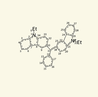 CCn1c2ccccc2c2cc(/C(c3ccccc3)=c3/ccc4c(c3)-c3ccccc3[N+]=4CC)ccc21